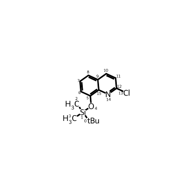 CC(C)(C)[Si](C)(C)Oc1cccc2ccc(Cl)nc12